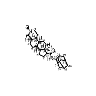 C[C@]12CC[N+](=O)C[C@@H]1CC[C@@H]1[C@@H]2CC[C@]2(C)[C@@H](C(=O)NC3C4CC5CC(C4)CC3C5)CC[C@@H]12